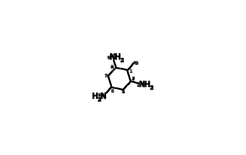 [CH2]C1C(N)CC(N)CC1N